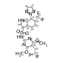 COc1nc(NS(=O)(=O)c2c[nH]c3c(-n4nccn4)c(C(F)F)ccc23)nc(OC)c1CC(F)F